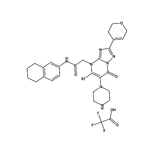 CCc1c(N2CCNCC2)c(=O)n2nc(C3=CCOCC3)nc2n1CC(=O)Nc1ccc2c(c1)CCCC2.O=C(O)C(F)(F)F